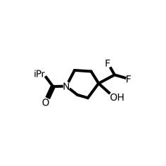 CC(C)C(=O)N1CCC(O)(C(F)F)CC1